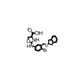 O=C(O)C1COC(Nc2ccc(Br)c(COC3Cc4ccccc4C3)c2)N1